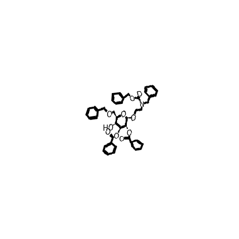 O=C(O[C@H]1[C@H](OCCN(Cc2ccccc2)C(=O)OCc2ccccc2)O[C@H](COCc2ccccc2)[C@@H](O)[C@@H]1OC(=O)c1ccccc1)c1ccccc1